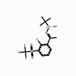 CC(=N[S@@+]([O-])C(C)(C)C)c1cccc(S(=O)(=O)C(F)(F)F)c1F